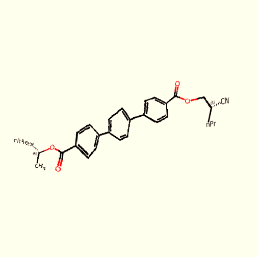 CCCCCC[C@@H](C)OC(=O)c1ccc(-c2ccc(-c3ccc(C(=O)OC[C@H](C#N)CCC)cc3)cc2)cc1